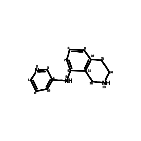 c1cncc(Nc2cccc3c2CNCC3)c1